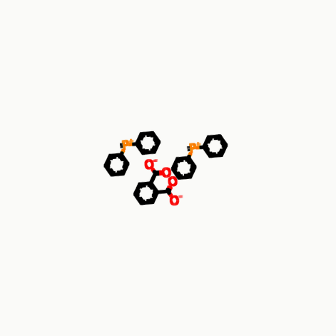 O=C([O-])c1ccccc1C(=O)[O-].c1ccc([P+]c2ccccc2)cc1.c1ccc([P+]c2ccccc2)cc1